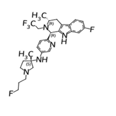 C[C@@H]1Cc2c([nH]c3cc(F)ccc23)[C@@H](c2ccc(N[C@@]3(C)CCN(CCCF)C3)cn2)N1CC(F)(F)F